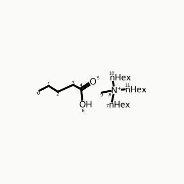 CCCCC(=O)O.CCCCCC[N+](C)(CCCCCC)CCCCCC